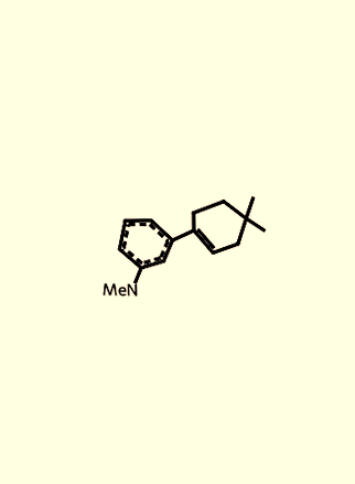 CNc1cccc(C2=CCC(C)(C)CC2)c1